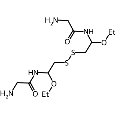 CCOC(CSSCC(NC(=O)CN)OCC)NC(=O)CN